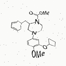 COC(=O)N1CCN(c2ccc(OC)c(OC3CCC3)c2)CC1Cc1ccccc1